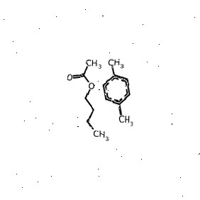 CCCCOC(C)=O.Cc1ccc(C)cc1